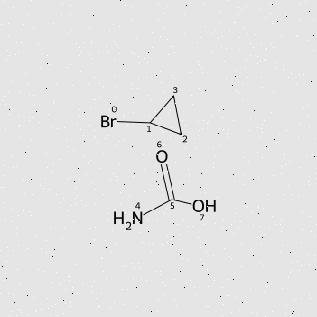 BrC1CC1.NC(=O)O